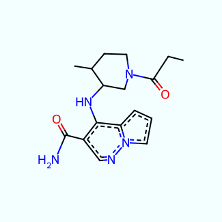 CCC(=O)N1CCC(C)C(Nc2c(C(N)=O)cnn3cccc23)C1